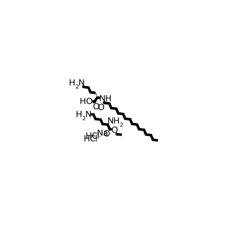 CCCCCCCCCCCCCCCC(=O)N[C@@H](CCCCN)C(=O)O.CCOC(=O)[C@@H](N)CCCCN.Cl.Cl.[Na]